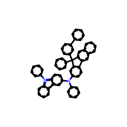 c1ccc(-c2cccc(C3(c4ccccc4)c4cc(N(c5ccccc5)c5ccc6c(c5)c5ccccc5n6-c5ccccc5)ccc4-c4cc5ccccc5cc43)c2)cc1